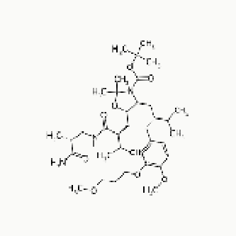 COCCCOc1cc(C[C@H](CC2C(C[C@H](C(=O)NC[C@@H](C)C(N)=O)C(C)C)OC(C)(C)N2C(=O)OC(C)(C)C)C(C)C)ccc1OC